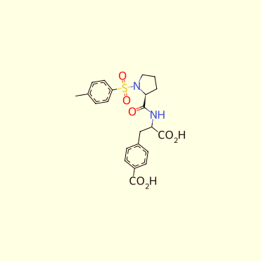 Cc1ccc(S(=O)(=O)N2CCC[C@H]2C(=O)NC(Cc2ccc(C(=O)O)cc2)C(=O)O)cc1